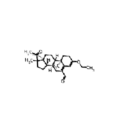 CCOC1=CC2=C(C=O)C[C@@H]3[C@H](CC[C@@]4(C)[C@H]3CC[C@]4(C)C(C)=O)[C@@]2(C)CC1